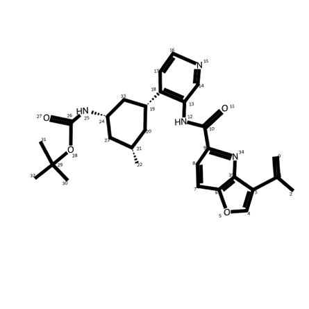 C=C(C)c1coc2ccc(C(=O)Nc3cnccc3[C@@H]3C[C@H](C)C[C@H](NC(=O)OC(C)(C)C)C3)nc12